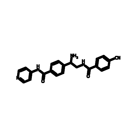 N#Cc1ccc(C(=O)NCC(N)c2ccc(C(=O)Nc3ccncc3)cc2)cc1